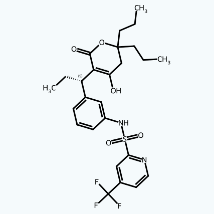 CCCC1(CCC)CC(O)=C([C@@H](CC)c2cccc(NS(=O)(=O)c3cc(C(F)(F)F)ccn3)c2)C(=O)O1